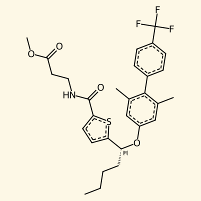 CCCC[C@@H](Oc1cc(C)c(-c2ccc(C(F)(F)F)cc2)c(C)c1)c1ccc(C(=O)NCCC(=O)OC)s1